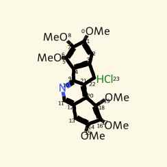 COc1cc2c(c(OC)c1OC)-c1ncc3cc(OC)c(OC)c(OC)c3c1C2.Cl